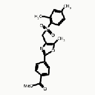 COC(=O)c1ccc(-c2nc(CS(=O)(=O)c3ccc(C)cc3C)c(C)o2)cc1